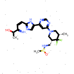 CC(O)C(=N)/C=C\c1ncc(-c2cc(N3C[C@@H](CN[S+](C)[O-])C(F)(F)[C@@H](C)C3)ncn2)[nH]1